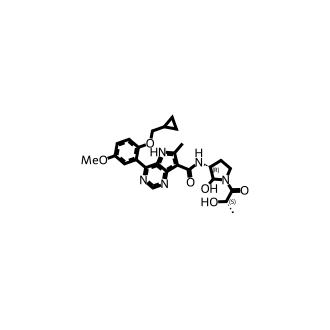 COc1ccc(OCC2CC2)c(-c2ncnc3c(C(=O)N[C@@H]4CCN(C(=O)[C@H](C)O)C4O)c(C)[nH]c23)c1